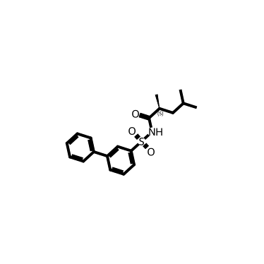 CC(C)C[C@H](C)C(=O)NS(=O)(=O)c1cccc(-c2ccccc2)c1